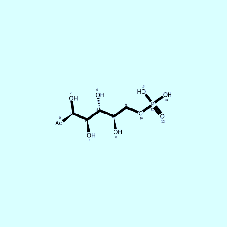 CC(=O)[C@@H](O)[C@H](O)[C@H](O)[C@H](O)COP(=O)(O)O